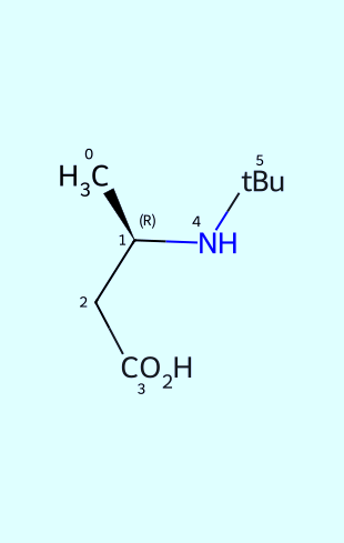 C[C@H](CC(=O)O)NC(C)(C)C